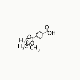 C[Si](C)(C)OC(=O)c1ccc(C(=O)O)cc1